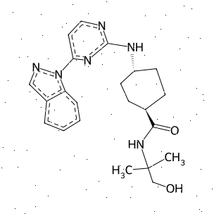 CC(C)(CO)NC(=O)[C@H]1CC[C@H](Nc2nccc(-n3ncc4ccccc43)n2)CC1